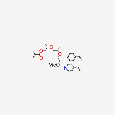 C=C(C)C(=O)OCC(C)OCC(C)OCC(C)OC.C=Cc1ccccc1.C=Cc1ccncc1